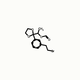 CC(OC=O)C1(c2cccc(CCBr)c2)OCCO1